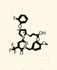 COc1ccc(Cn2nc(N3C[C@H](Oc4ccccc4F)C[C@H]3CCC(=O)O)cc(C(F)(F)F)c2=O)cc1